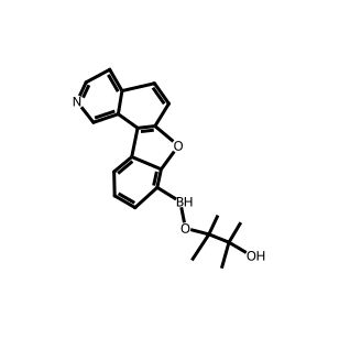 CC(C)(O)C(C)(C)OBc1cccc2c1oc1ccc3ccncc3c12